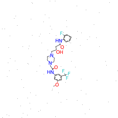 COc1cc(NC(=O)CN2CCN(CC(O)CC(=O)Nc3ccccc3F)CC2)cc(C(F)(F)F)c1